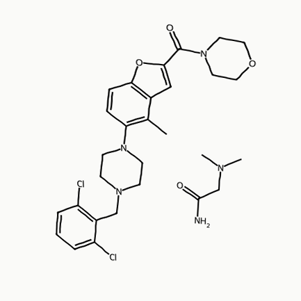 CN(C)CC(N)=O.Cc1c(N2CCN(Cc3c(Cl)cccc3Cl)CC2)ccc2oc(C(=O)N3CCOCC3)cc12